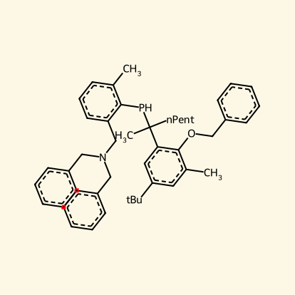 CCCCCC(C)(Pc1c(C)cccc1CN(Cc1ccccc1)Cc1ccccc1)c1cc(C(C)(C)C)cc(C)c1OCc1ccccc1